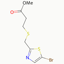 COC(=O)CCSCc1ncc(Br)s1